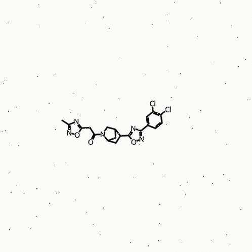 Cc1noc(CC(=O)N2CC3CC2CC3c2nc(-c3ccc(Cl)c(Cl)c3)no2)n1